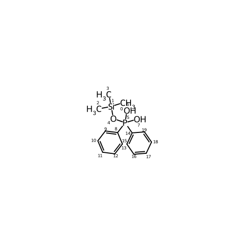 C[Si](C)(C)OP(O)(O)(c1ccccc1)c1ccccc1